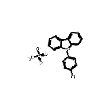 Clc1ccc(-[s+]2c3ccccc3c3ccccc32)cc1.O=S(=O)([O-])C(F)(F)F